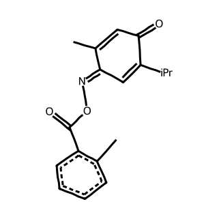 CC1=CC(=O)C(C(C)C)=CC1=NOC(=O)c1ccccc1C